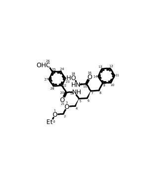 CCOCOC[C@H](C[C@H](Cc1ccccc1)C(=O)NO)NC(=O)c1ccc(C=O)cc1